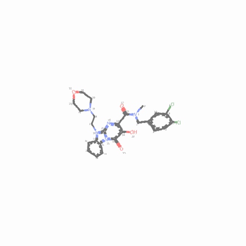 CN(Cc1ccc(Cl)c(Cl)c1)C(=O)c1nc2n(CCN3CCOCC3)c3ccccc3n2c(=O)c1O